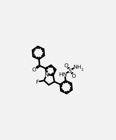 NS(=O)(=O)Nc1ccccc1C1CC(F)n2c(C(=O)c3ccccc3)ccc21